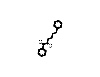 O=C(CCCCc1ccccc1)C(=O)c1ccccc1